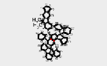 CC1(C)c2cc(N(c3ccc4c(c3)C(c3ccccc3)(c3ccccc3)c3ccccc3-4)c3ccccc3-c3ccc4c(c3)C3(c5ccccc5O4)c4ccccc4-c4ccccc43)ccc2-c2cc3ccccc3cc21